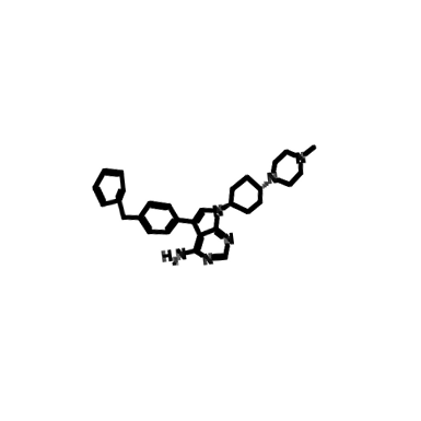 CN1CCN([C@H]2CC[C@H](n3cc(-c4ccc(Cc5ccccc5)cc4)c4c(N)ncnc43)CC2)CC1